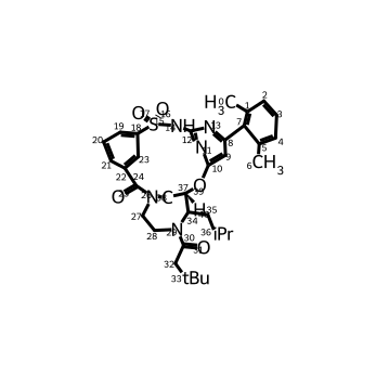 Cc1cccc(C)c1-c1cc2nc(n1)NS(=O)(=O)c1cccc(c1)C(=O)N1CCN(C(=O)CC(C)(C)C)C(CC(C)C)[C@H](C1)O2